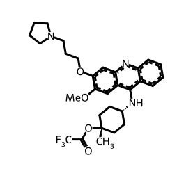 COc1cc2c(N[C@H]3CC[C@@](C)(OC(=O)C(F)(F)F)CC3)c3ccccc3nc2cc1OCCCN1CCCC1